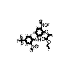 CCOC(=O)C(C)Oc1cc(Nc2ccc(C(F)(F)F)cc2[N+](=O)[O-])ccc1[N+](=O)[O-]